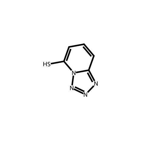 Sc1cccc2nnnn12